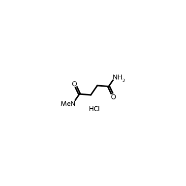 CNC(=O)CCC(N)=O.Cl